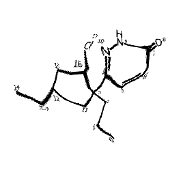 CCCC1(c2ccc(=O)[nH]n2)CC(CC)CC1Cl